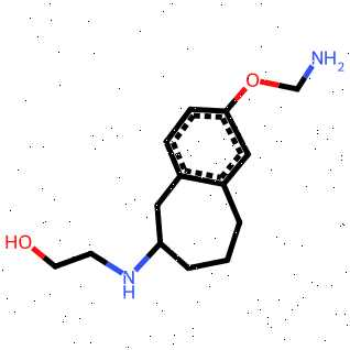 NCOc1ccc2c(c1)CCCC(NCCO)C2